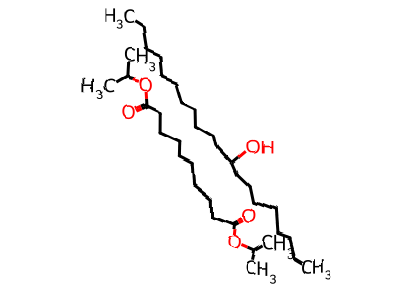 CC(C)OC(=O)CCCCCCCCC(=O)OC(C)C.CCCCCCCCCCCC(O)CCCCCCCC